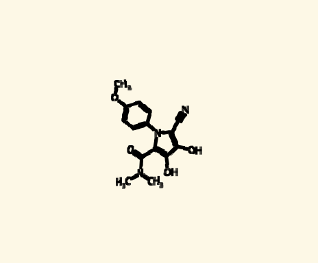 COc1ccc(-n2c(C#N)c(O)c(O)c2C(=O)N(C)C)cc1